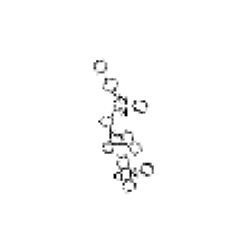 c1ccc(-c2ccc(-c3cc(-c4cccc(-n5c6cccc(-c7ccc8c(c7)Oc7ccccc7N8c7ccccc7)c6c6c7ccccc7ccc65)c4)nc(-c4ccccc4)n3)cc2)cc1